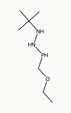 CCOCPNNC(C)(C)C